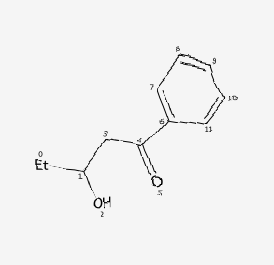 CCC(O)CC(=O)c1ccccc1